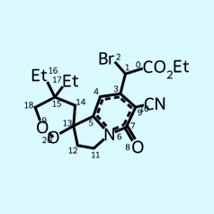 CCOC(=O)C(Br)c1cc2n(c(=O)c1C#N)CCC21CC(CC)(CC)COO1